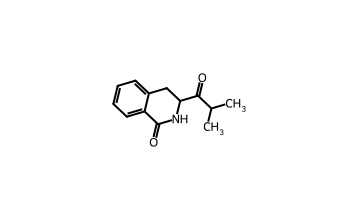 CC(C)C(=O)C1Cc2ccccc2C(=O)N1